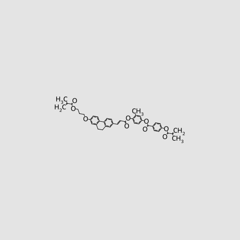 C=C(C)C(=O)OCCCOc1ccc2c(c1)CCc1cc(/C=C/C(=O)Oc3ccc(OC(=O)c4ccc(OC(=O)C(=C)C)cc4)cc3C)ccc1-2